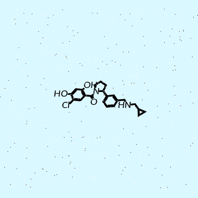 O=C(c1cc(Cl)c(O)cc1O)N1CCCC1c1cccc(CNCC2CC2)c1